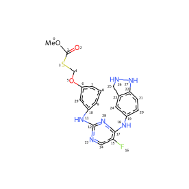 COC(=O)SCOc1cccc(Nc2ncc(F)c(Nc3ccc4c(c3)CNN4)n2)c1